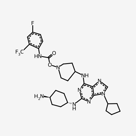 N[C@H]1CC[C@H](Nc2nc(NC3CCN(OC(=O)Nc4ccc(F)cc4C(F)(F)F)CC3)c3ncn(C4CCCC4)c3n2)CC1